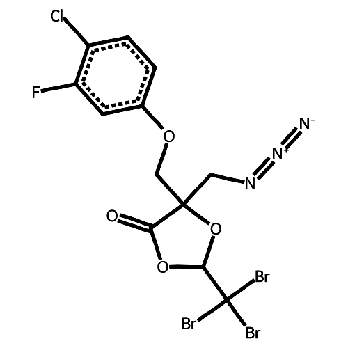 [N-]=[N+]=NCC1(COc2ccc(Cl)c(F)c2)OC(C(Br)(Br)Br)OC1=O